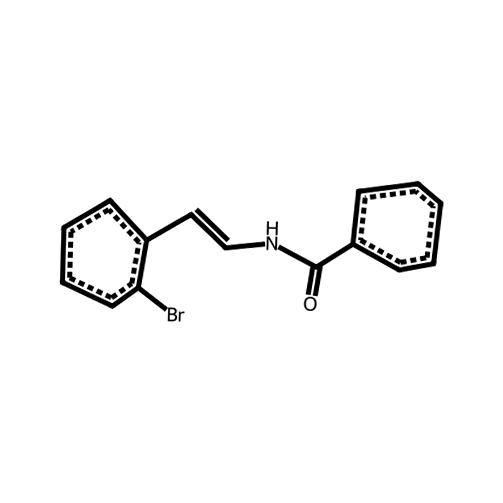 O=C(N/C=C/c1ccccc1Br)c1ccccc1